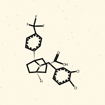 O=C(O)[C@@H]1C[C@H]2CC[C@@](c3ccc(C(F)(F)F)cc3)(C1)N2Cc1ccc(Cl)c(Cl)c1